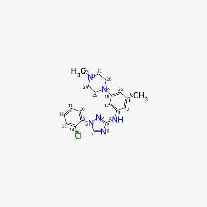 Cc1cc(Nc2ncn(-c3ccccc3Cl)n2)cc(N2CCN(C)CC2)c1